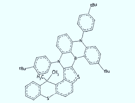 CC(C)(C)c1ccc(N2c3ccc(C(C)(C)C)cc3B3c4sc5ccc6c(c5c4N(c4ccc(C(C)(C)C)cc4)c4cccc2c43)C(C)(C)c2ccccc2S6)cc1